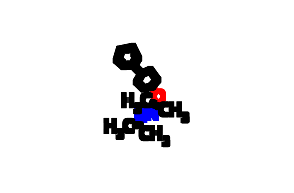 CC(C)N=NC(C)(C)OC1CCC(c2ccccc2)CC1